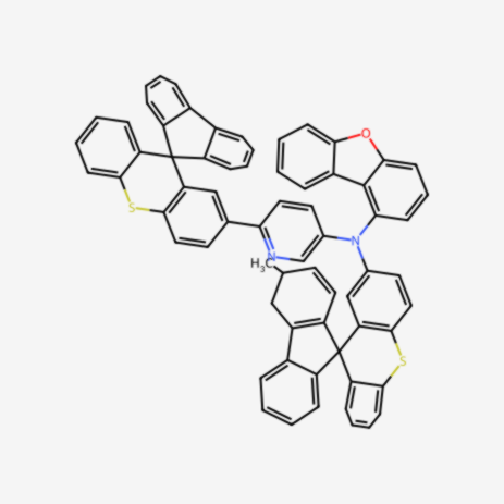 CC1C=CC2=C(C1)c1ccccc1C21c2ccccc2Sc2ccc(N(c3ccc(-c4ccc5c(c4)C4(c6ccccc6S5)c5ccccc5-c5ccccc54)nc3)c3cccc4oc5ccccc5c34)cc21